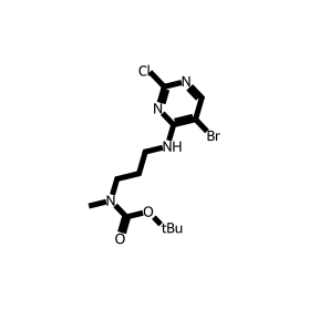 CN(CCCNc1nc(Cl)ncc1Br)C(=O)OC(C)(C)C